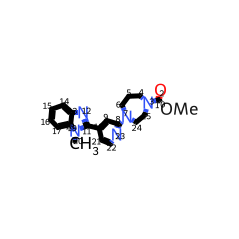 COC(=O)N1CCCN(c2cc(-c3nc4ccccc4n3C)ccn2)CC1